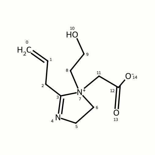 C=CCC1=NCC[N+]1(CCO)CC(=O)[O-]